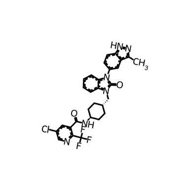 Cc1n[nH]c2ccc(-n3c(=O)n(C[C@H]4CC[C@H](NC(=O)c5cc(Cl)cnc5C(F)(F)F)CC4)c4ccccc43)cc12